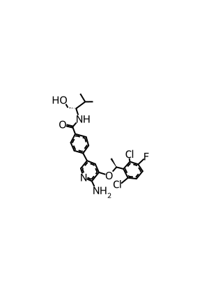 CC(C)[C@@H](CO)NC(=O)c1ccc(-c2cnc(N)c(O[C@@H](C)c3c(Cl)ccc(F)c3Cl)c2)cc1